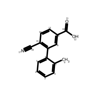 Cc1ccccc1-c1cc(C(=O)O)ccc1C#N